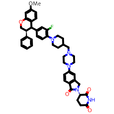 COc1ccc2c(c1)OC[C@H](c1ccccc1)C2c1ccc(N2CCC(CN3CCN(c4ccc5c(c4)CN([C@H]4CCC(=O)NC4=O)C5=O)CC3)CC2)c(F)c1